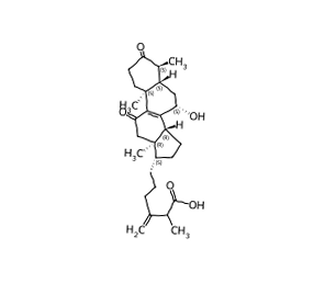 C=C(CCC[C@H]1CC[C@H]2C3=C(C(=O)C[C@]12C)[C@@]1(C)CCC(=O)[C@@H](C)[C@@H]1C[C@@H]3O)C(C)C(=O)O